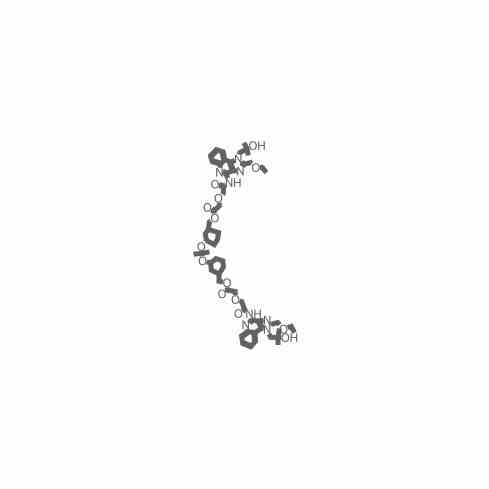 CCOCc1nc2c(NC(=O)COCC(=O)OCC3CCCC(OC(C)(C)OC4CCCC(COC(=O)COCC(=O)Nc5nc6ccccc6c6c5nc(COCC)n6CC(C)(C)O)C4)C3)nc3ccccc3c2n1CC(C)(C)O